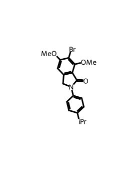 COc1cc2c(c(OC)c1Br)C(=O)N(c1ccc(C(C)C)cc1)C2